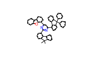 CC1(C)c2ccccc2-c2c(-c3nc(-c4cccc5c4-c4ccccc4C5(c4ccccc4)c4ccccc4)cc(-c4cccc5c4oc4ccccc45)n3)cccc21